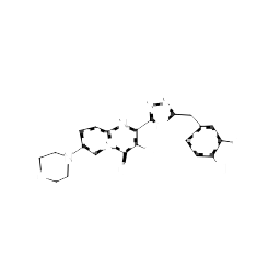 O=c1c(O)c(-c2nnc(Cc3ccc(Cl)c(Cl)c3)o2)nc2ccc(N3CCOCC3)cn12